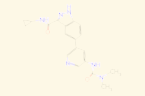 CN(C)C(=O)Nc1cncc(-c2ccc3[nH]nc(C(=O)NC4CC4)c3c2)c1